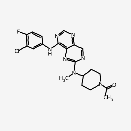 CC(=O)N1CCC(N(C)c2ncc3ncnc(Nc4ccc(F)c(Cl)c4)c3n2)CC1